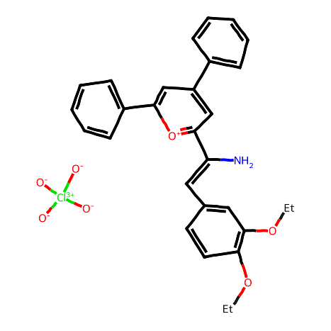 CCOc1ccc(C=C(N)c2cc(-c3ccccc3)cc(-c3ccccc3)[o+]2)cc1OCC.[O-][Cl+3]([O-])([O-])[O-]